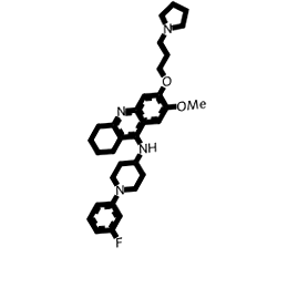 COc1cc2c(NC3CCN(c4cccc(F)c4)CC3)c3c(nc2cc1OCCCN1CCCC1)CCCC3